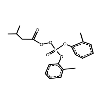 Cc1ccccc1OP(=O)(OOC(=O)CC(C)C)Oc1ccccc1C